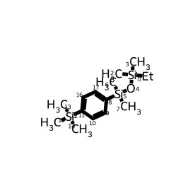 CC[Si](C)(C)O[Si](C)(C)c1ccc([Si](C)(C)C)cc1